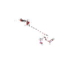 C[n+]1c(/C=C2\C=CN(CCC[N+](C)(C)CC(C[N+](C)(C)CCCN3C=C/C(=C\c4sc5ccccc5[n+]4C)c4ccccc43)OCCCCCC(=O)NCCOCCOCCOCCOCCOCCOCCOCCNP(=O)(O)OP(=O)(O)OP(=O)(O)OC[C@H]3O[C@@H](n4cnc5c(N)ncnc54)CC3O)c3ccccc32)sc2ccccc21